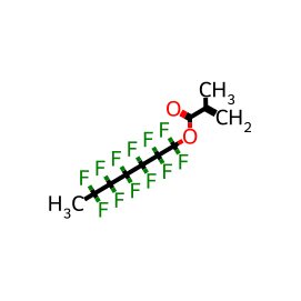 C=C(C)C(=O)OC(F)(F)C(F)(F)C(F)(F)C(F)(F)C(F)(F)C(C)(F)F